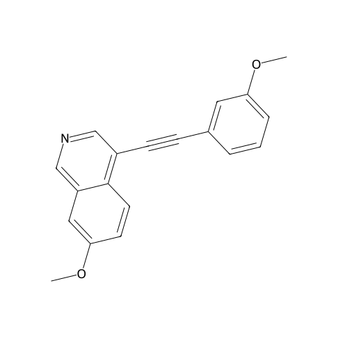 COc1cccc(C#Cc2cncc3cc(OC)ccc23)c1